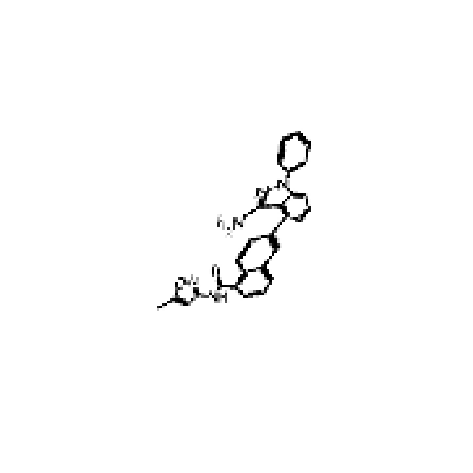 Cc1cc(NC(=O)c2cccc3cc(-c4cccc5c4c(N)nn5-c4ccccc4)ccc23)no1